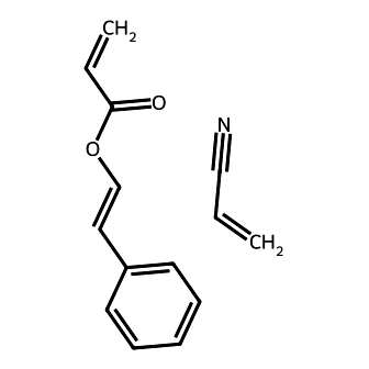 C=CC#N.C=CC(=O)OC=Cc1ccccc1